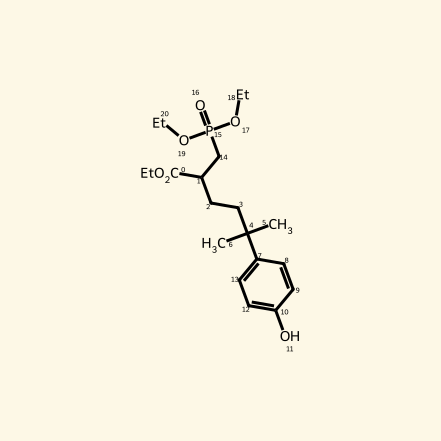 CCOC(=O)C(CCC(C)(C)c1ccc(O)cc1)CP(=O)(OCC)OCC